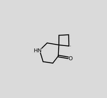 O=C1CCNCC12[CH]CC2